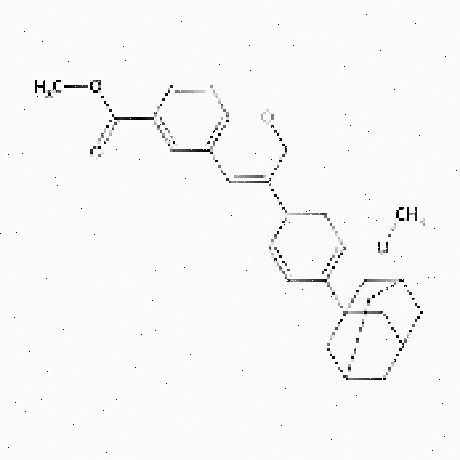 COC(=O)c1ccc2c(c1)C=C(c1ccc(C34CC5CC(CC(C5)C3)C4)c(OC)c1)CO2